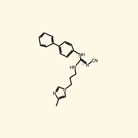 Cc1cn(CCCN/C(=N/C#N)Nc2ccc(-c3ccccc3)cc2)cn1